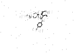 CCC1(n2nc(Nc3ccc([C@@H](O)C(F)(F)F)cc3)c3c(=O)[nH]ccc32)CCN(C(=O)OC(C)(C)C)CC1